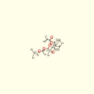 C=C(C)C(=O)OC12CC3CC(C1)CC(OC(C)C(=O)OC(C)OCC(C)C)(C3)C2